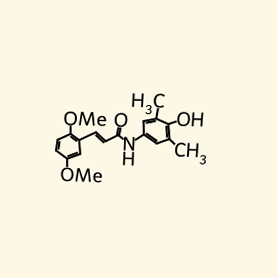 COc1ccc(OC)c(C=CC(=O)Nc2cc(C)c(O)c(C)c2)c1